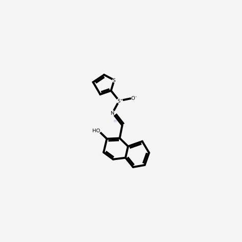 [O-][S+](/N=C/c1c(O)ccc2ccccc12)c1cccs1